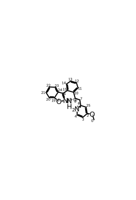 COc1ccnc(C[C@H](N)c2ccccc2-c2noc3ccccc23)c1